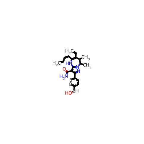 C=C/C=C\C1=C(C=C)C(C)C(C)n2nc(-c3bbc(BO)cc3)c(C(N)=O)c2N1